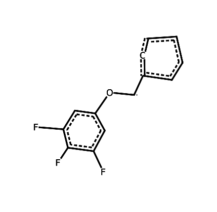 Fc1cc(O[CH]c2ccccc2)cc(F)c1F